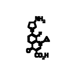 NC1CCN(c2ccc3c(=O)c(C(=O)O)cn(C4CC4)c3c2F)C1